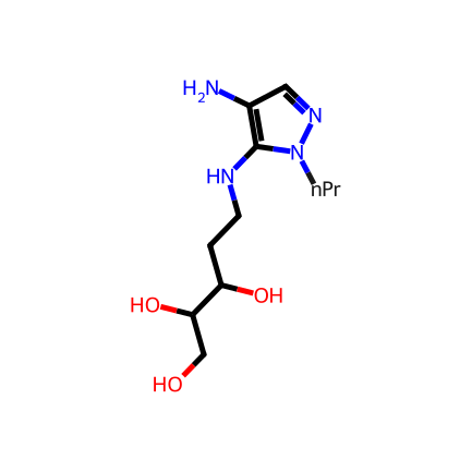 CCCn1ncc(N)c1NCCC(O)C(O)CO